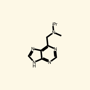 CC(C)N(C)Cc1ncnc2[nH]cnc12